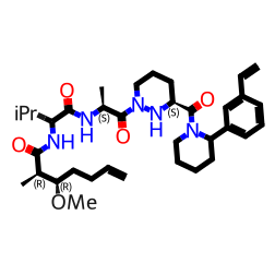 C=CCC[C@@H](OC)[C@@H](C)C(=O)NC(C(=O)N[C@@H](C)C(=O)N1CCC[C@@H](C(=O)N2CCCCC2c2cccc(C=C)c2)N1)C(C)C